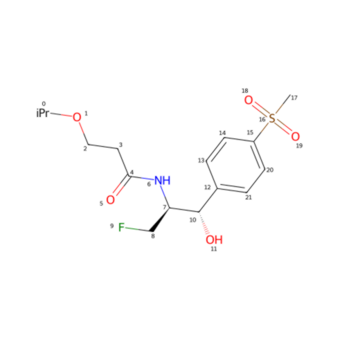 CC(C)OCCC(=O)N[C@H](CF)[C@@H](O)c1ccc(S(C)(=O)=O)cc1